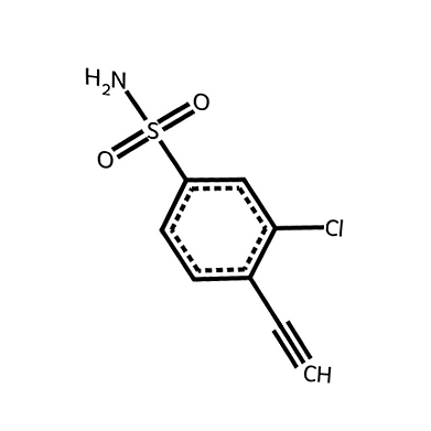 C#Cc1ccc(S(N)(=O)=O)cc1Cl